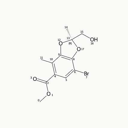 COC(=O)c1cc(Br)c2c(c1C)O[C@@](C)(CO)O2